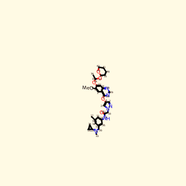 COc1cc2c(Oc3cnn(CC(=O)Nc4cc(C)cc(CN(C)C5CC5)c4)c3)ncnc2cc1OC(C)OC1CCCCO1